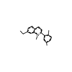 CCc1ccc2ccc(-c3cc(C)ccc3C)[n+](C)c2c1